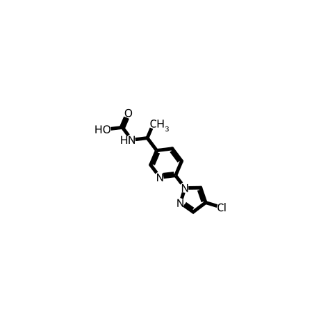 CC(NC(=O)O)c1ccc(-n2cc(Cl)cn2)nc1